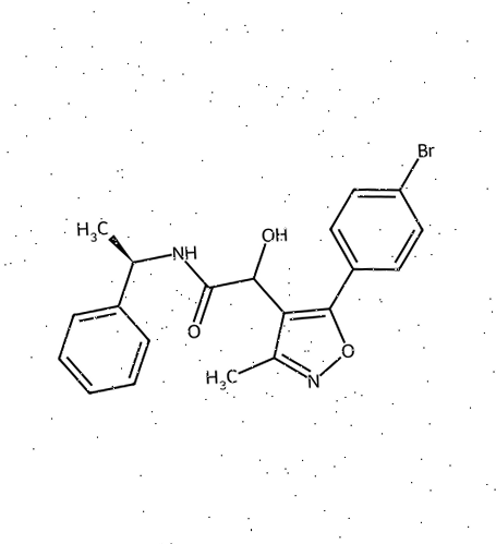 Cc1noc(-c2ccc(Br)cc2)c1C(O)C(=O)N[C@H](C)c1ccccc1